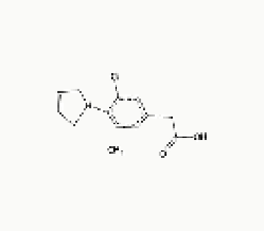 C.O=C(O)Cc1ccc(N2CC=CC2)c(Cl)c1